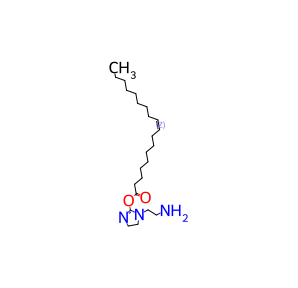 CCCCCCCC/C=C\CCCCCCCC(=O)OC1=NCCN1CCN